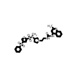 Cc1cc(NC(=O)NCCN2CCC(N(C)S(=O)(=O)c3cc(S(=O)(=O)c4ccccc4)cs3)C2)c2ccccc2n1